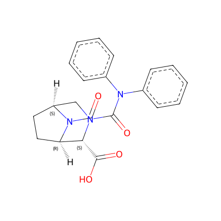 O=CN1[C@H]2CC[C@@H]1[C@@H](C(=O)O)N(C(=O)N(c1ccccc1)c1ccccc1)C2